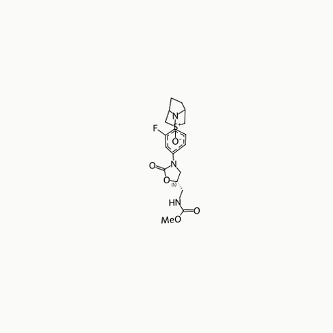 COC(=O)NC[C@H]1CN(c2ccc(N3C4CCC3C[S+]([O-])C4)c(F)c2)C(=O)O1